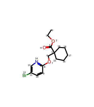 CCOC(=O)C1(COc2ccc(Br)cn2)CCCCC1